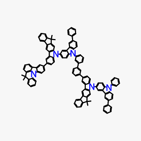 CC1(C)c2ccccc2-c2cc3c4cc(-c5cccc(-c6cccc(-n7c8ccc(-c9ccccc9)cc8c8cc(-n9c%10ccc(-c%11ccc%12c(c%11)c%11cccc%13c%11n%12-c%11ccccc%11C%13(C)C)cc%10c%10cc%11c(cc%109)C(C)(C)c9ccccc9-%11)ccc87)c6)c5)ccc4n(-c4ccc5c(c4)c4cc(-c6ccccc6)ccc4n5-c4ccccc4)c3cc21